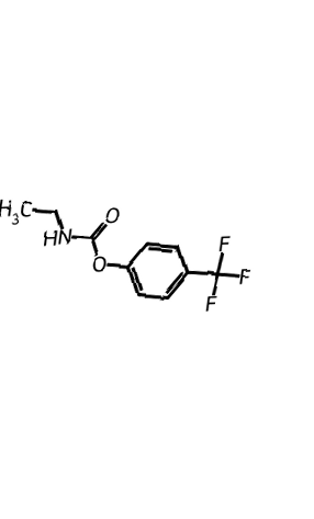 CCNC(=O)Oc1ccc(C(F)(F)F)cc1